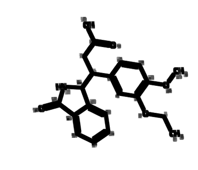 CCOc1cc(C(CC(=O)O)C2NC(=O)c3ccccc32)ccc1OC